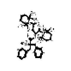 CCC(CC(OC(=O)C(Cc1ccccc1)(Cc1ccccc1)C(=O)O)C(CC)N1C(C)(C)CCCC1(C)C)N1C(C)(C)CCCC1(C)C